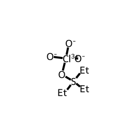 CCS(CC)(CC)O[Cl+3]([O-])([O-])[O-]